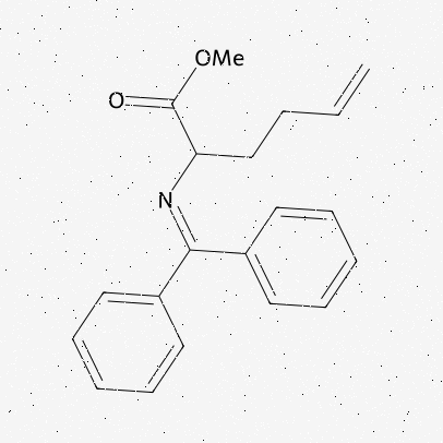 C=CCCC(N=C(c1ccccc1)c1ccccc1)C(=O)OC